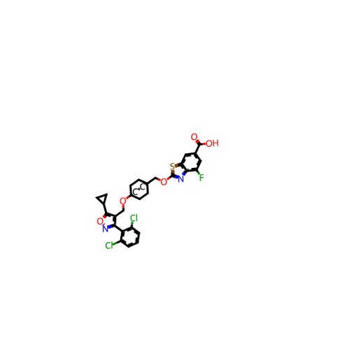 O=C(O)c1cc(F)c2nc(OCC34CCC(OCc5c(-c6c(Cl)cccc6Cl)noc5C5CC5)(CC3)CC4)sc2c1